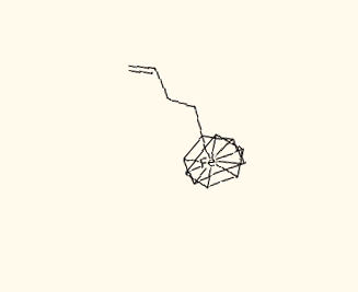 C=CCC[C]12[CH]3[CH]4[CH]5[CH]1[Fe]45321678[CH]2[CH]1[CH]6[CH]7[CH]28